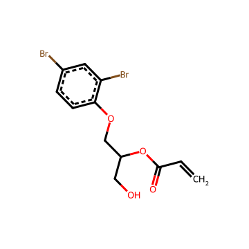 C=CC(=O)OC(CO)COc1ccc(Br)cc1Br